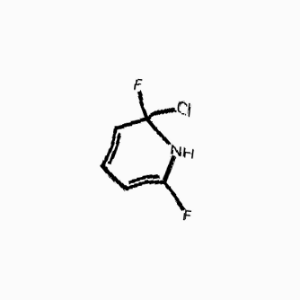 FC1=CC=CC(F)(Cl)N1